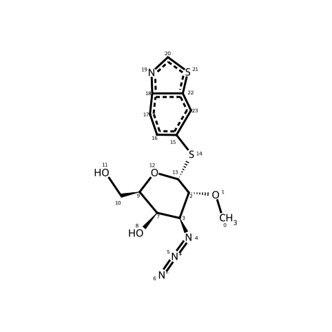 CO[C@@H]1[C@@H](N=[N+]=[N-])[C@@H](O)[C@@H](CO)O[C@@H]1Sc1ccc2ncsc2c1